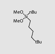 CCCC[Si](CCCCC(C)(C)C)(OC)OC